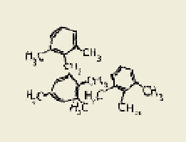 Cc1ccc(C)c(C)c1.Cc1cccc(C)c1C.Cc1cccc(C)c1C